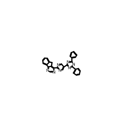 c1ccc(-c2nc(-c3ccccc3)nc(-c3cnc(-c4ncnc5c4Cc4ccccc4-5)nc3)n2)cc1